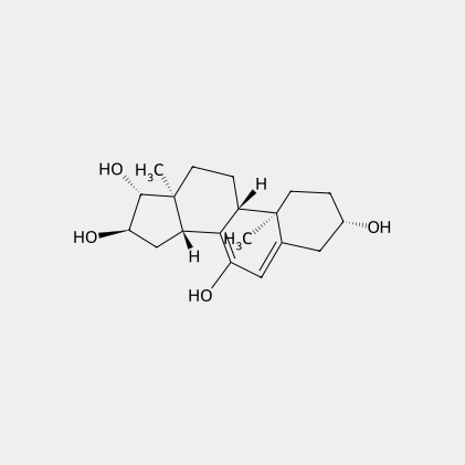 C[C@]12CC[C@H]3C(=C(O)C=C4C[C@@H](O)CC[C@@]43C)[C@@H]1C[C@@H](O)[C@@H]2O